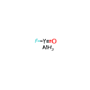 [AlH3].[O]=[Y][F]